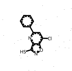 Sc1noc2c(Cl)cc(-c3ccccc3)nc12